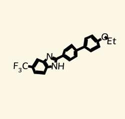 CCOc1ccc(-c2ccc(-c3nc4cc(C(F)(F)F)ccc4[nH]3)cc2)cc1